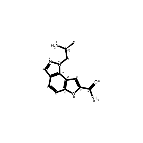 C[C@H](N)Cn1ncc2ccc3oc(C(N)=O)cc3c21